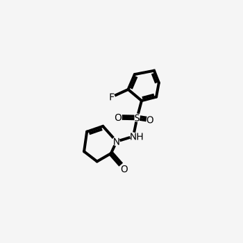 O=C1CCC=CN1NS(=O)(=O)c1ccccc1F